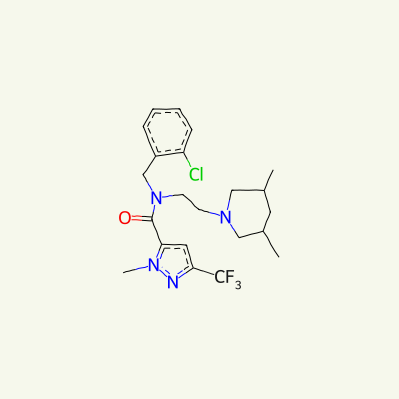 CC1CC(C)CN(CCN(Cc2ccccc2Cl)C(=O)c2cc(C(F)(F)F)nn2C)C1